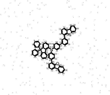 c1ccc(C2(c3ccccc3)c3ccccc3-c3c(N(c4ccc(-c5cccc(-c6cccc7c6sc6ccccc67)c5)cc4)c4ccc(-c5cccc6c5oc5ccccc56)cc4)cccc32)cc1